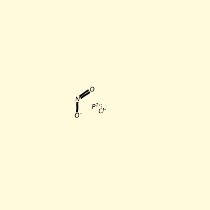 O=N[O-].[Cl-].[P+2]